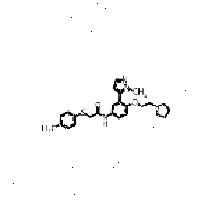 Cc1ccc(SCC(=O)Nc2ccc(OCCN3CCCC3)c(-c3ccnn3C)c2)cc1